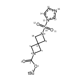 CC(C)(C)OC(=O)N1CC2(C1)CN(S(=O)(=O)n1ccnc1)C2